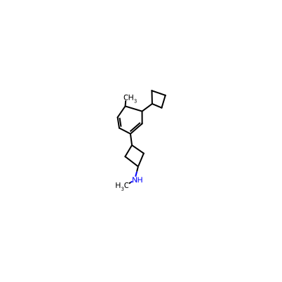 CNC1CC(C2=CC(C3CCC3)C(C)C=C2)C1